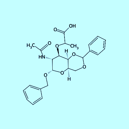 CC(=O)N[C@H]1[C@@H](OCc2ccccc2)O[C@@H]2COC(c3ccccc3)O[C@@H]2[C@@H]1OC(C)C(=O)O